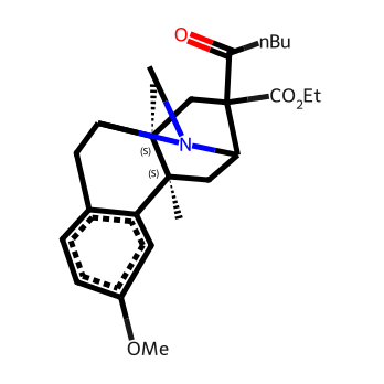 CCCCC(=O)C1(C(=O)OCC)C[C@]2(C)C3Cc4ccc(OC)cc4[C@]2(C)CC1N3C